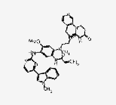 C=CC(=O)Nc1cc(Nc2nccc(-c3cn(C)c4ccccc34)n2)c(OC)cc1N(C)CCN(C)Cc1ccncc1N1CCC(=O)NC1=O